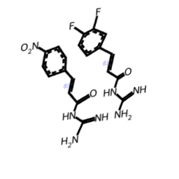 N=C(N)NC(=O)/C=C/c1ccc(F)c(F)c1.N=C(N)NC(=O)/C=C/c1ccc([N+](=O)[O-])cc1